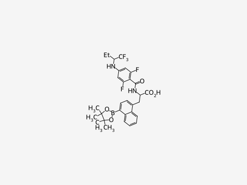 CCC(Nc1cc(F)c(C(=O)NC(Cc2ccc(B3OC(C)(C)C(C)(C)O3)c3ccccc23)C(=O)O)c(F)c1)C(F)(F)F